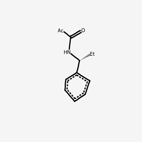 CC[C@@H](NC(=O)C(C)=O)c1ccccc1